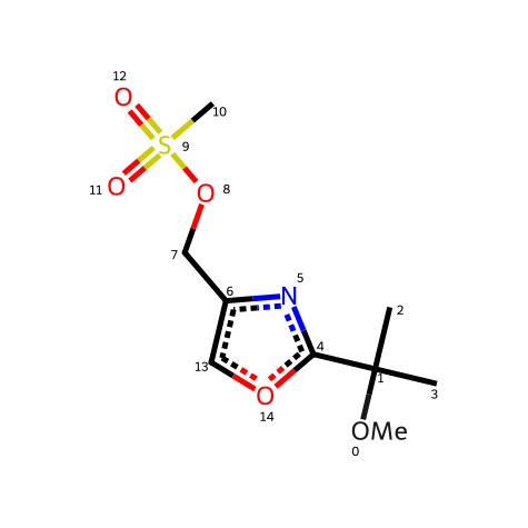 COC(C)(C)c1nc(COS(C)(=O)=O)co1